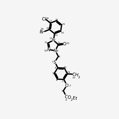 CCOC(=O)COc1ccc(SCn2ncn(-c3cccc(Cl)c3Br)c2=O)cc1C